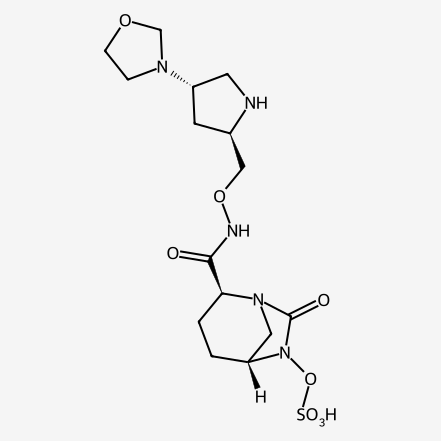 O=C(NOC[C@H]1C[C@H](N2CCOC2)CN1)[C@@H]1CC[C@@H]2CN1C(=O)N2OS(=O)(=O)O